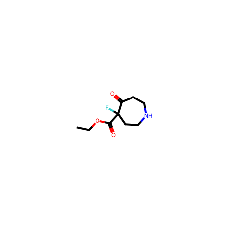 CCOC(=O)C1(F)CCNCCC1=O